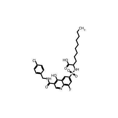 CCCCCCCCCC(NS(=O)(=O)c1cc(F)c2ncc(C(=O)NCc3ccc(Cl)cc3)c(O)c2c1)C(=O)O